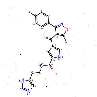 Cc1ccc(-c2noc(C)c2C(=O)c2c[nH]c(C(=O)NCCc3cnc[nH]3)c2)cc1